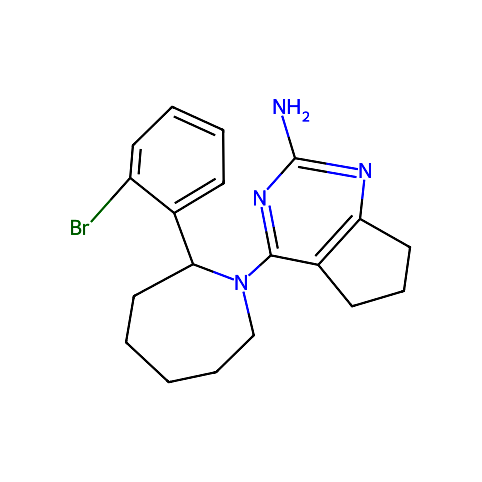 Nc1nc2c(c(N3CCCCCC3c3ccccc3Br)n1)CCC2